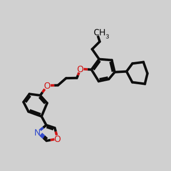 CCCc1cc(C2CCCCC2)ccc1OCCCOc1cccc(-c2cocn2)c1